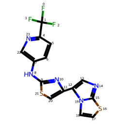 FC(F)(F)c1ccc(Nc2nc(-c3cnc4sccn34)cs2)cn1